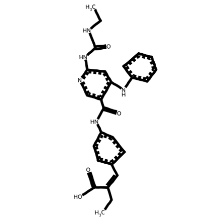 CCNC(=O)Nc1cc(Nc2ccccc2)c(C(=O)Nc2ccc(C=C(CC)C(=O)O)cc2)cn1